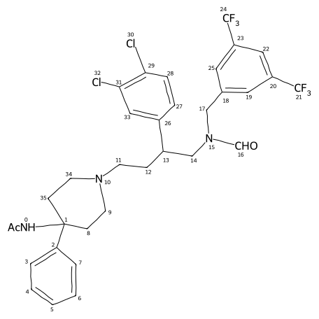 CC(=O)NC1(c2ccccc2)CCN(CCC(CN(C=O)Cc2cc(C(F)(F)F)cc(C(F)(F)F)c2)c2ccc(Cl)c(Cl)c2)CC1